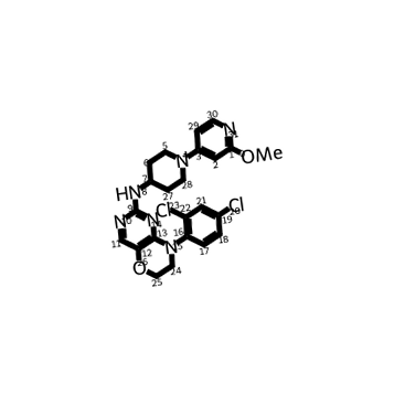 COc1cc(N2CCC(Nc3ncc4c(n3)N(c3ccc(Cl)cc3Cl)CCO4)CC2)ccn1